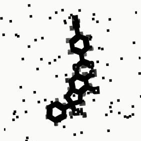 CC1(c2ccccc2)Cc2cc(OC(=O)c3ccc(C#N)cc3)c(Cl)c(Cl)c2C1